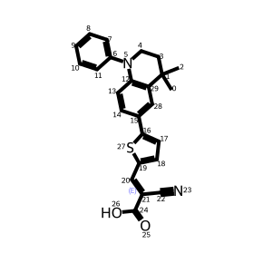 CC1(C)CCN(c2ccccc2)c2ccc(-c3ccc(/C=C(\C#N)C(=O)O)s3)cc21